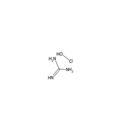 N=C(N)N.OCl